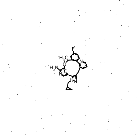 CC1Oc2cc(cnc2N)-c2c(cnn2CC2CC2)Cc2cccnc2-c2ccc(F)cc21